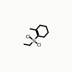 CC[Si](Cl)(Cl)C1=C(C)CCCC1